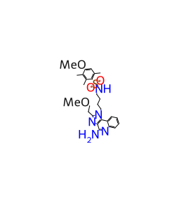 COCCc1nc2c(N)nc3ccccc3c2n1CCCCNS(=O)(=O)c1c(C)cc(OC)c(C)c1C